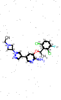 CC(Oc1cc(-c2cnn(C3CN(CC#N)C3)c2)cnc1N)c1c(Cl)ccc(F)c1Cl